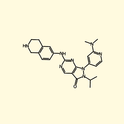 CC(C)n1c(=O)c2cnc(Nc3ccc4c(c3)CCNC4)nc2n1-c1ccnc(N(C)C)c1